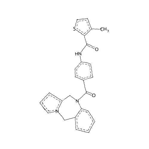 Cc1ccsc1C(=O)Nc1ccc(C(=O)N2Cc3cccn3Cc3ccccc32)cc1